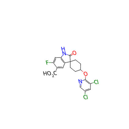 O=C(O)c1cc2c(cc1F)NC(=O)C21CCC(Oc2ncc(Cl)cc2Cl)CC1